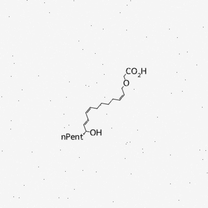 CCCCC[C@H](O)/C=C/C=C\CCCC/C=C\COCC(=O)O